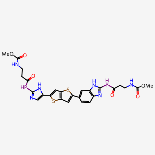 COC(=O)NCCC(=O)Pc1ncc(-c2cc3sc(-c4ccc5nc(PC(=O)CCNC(=O)OC)[nH]c5c4)cc3s2)[nH]1